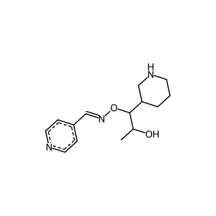 CC(O)C(ON=[C]c1ccncc1)C1CCCNC1